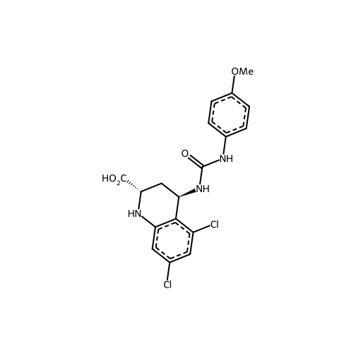 COc1ccc(NC(=O)N[C@@H]2C[C@@H](C(=O)O)Nc3cc(Cl)cc(Cl)c32)cc1